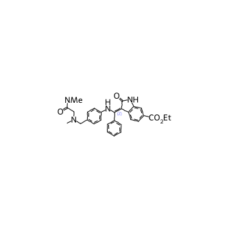 CCOC(=O)c1ccc2c(c1)NC(=O)/C2=C(\Nc1ccc(CN(C)CC(=O)NC)cc1)c1ccccc1